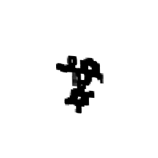 CCC(=O)Nc1cccc(I)c1COc1cc(C)c(C)cc1C